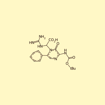 CC(C)(C)OC(=O)Nc1ncc(-c2ccccc2)n(C(NC(=N)N)C(=O)O)c1=O